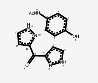 CC(=O)Nc1ccc(O)cc1.O=C(c1cc[nH]n1)c1cc[nH]n1